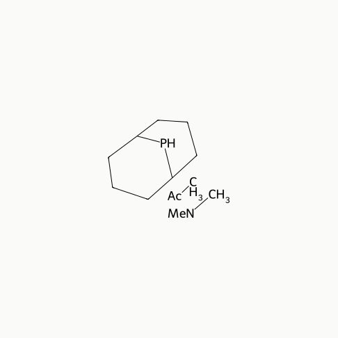 C1CC2CCCC(C1)P2.CC(C)=O.CNC